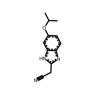 CC(C)Oc1ccc2nc(CC#N)[nH]c2c1